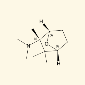 CN(C)[C@]1(C)[C@@H]2CC[C@@H](O2)C1(C)C